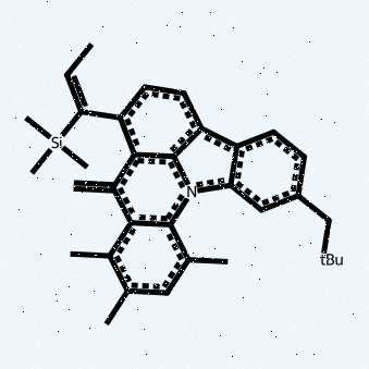 C=c1c2c(C)c(C)cc(C)c2n2c3cc(CC(C)(C)C)ccc3c3ccc(/C(=C\C)[Si](C)(C)C)c1c32